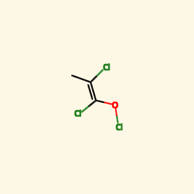 CC(Cl)=C(Cl)OCl